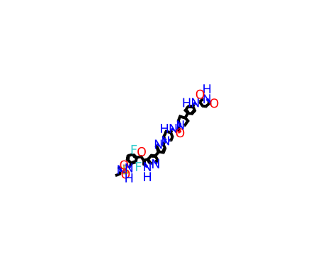 CCN(C)S(=O)(=O)Nc1ccc(F)c(C(=O)c2c[nH]c3ncc(-c4ccc(N5CCC(NC(=O)N6CCC(c7ccc(NC8CCC(=O)NC8=O)cc7)CC6)CC5)nc4)cc23)c1F